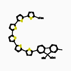 CCCCCCCCC1(CCCC)c2cc(C)ccc2-c2ccc(-c3ccc(-c4ccc(-c5ccc(-c6ccc(-c7ccc(-c8ccc(CCCCCC)s8)s7)s6)s5)s4)s3)cc21